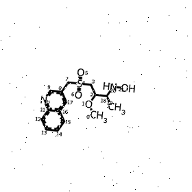 COC(CS(=O)(=O)Cc1cnc2ccccc2c1)C(C)NO